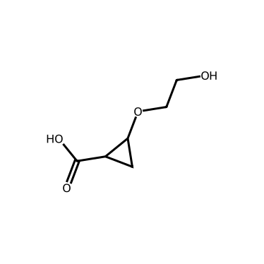 O=C(O)C1CC1OCCO